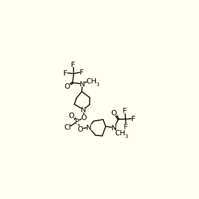 CN(C(=O)C(F)(F)F)C1CCN(OP(=O)(Cl)ON2CCC(N(C)C(=O)C(F)(F)F)CC2)CC1